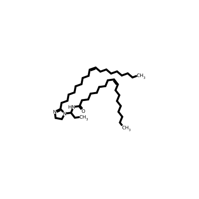 CCCCCCCC/C=C\CCCCCCCCC1=NCCN1C(CC)NC(=O)CCCCCCC/C=C\CCCCCCCC